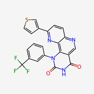 O=c1[nH]c(=O)n(-c2cccc(C(F)(F)F)c2)c2c1cnc1ccc(-c3ccsc3)nc12